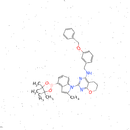 Cc1cc2c(B3OC(C)(C)C(C)(C)O3)cccc2n1-c1nc(NCc2cccc(OCc3ccccc3)c2)c2c(n1)OCCC2